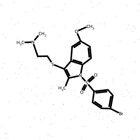 COc1ccc2c(c1)c(SCCN(C)C)c(C)n2S(=O)(=O)c1ccc(Br)cc1